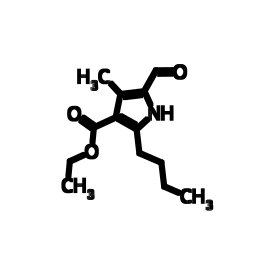 CCCCc1[nH]c(C=O)c(C)c1C(=O)OCC